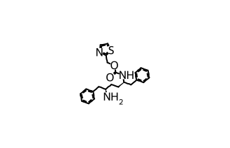 N[C@H](CC[C@H](Cc1ccccc1)NC(=O)OCc1nccs1)Cc1ccccc1